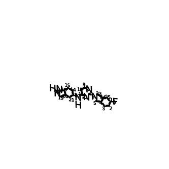 Fc1ccc2cn(-c3nccc(Nc4ccc5[nH]ncc5c4)n3)cc2c1